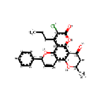 CCCc1c(Cl)c(=O)oc2c3c(c4c(c12)OC(c1ccccc1)C=C4)OC(C)CC3=O